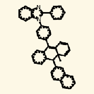 CC12C=CC=CC1=C(c1ccc(-n3c(-c4ccccc4)nc4ccccc43)cc1)c1ccccc1C2c1ccc2ccccc2c1